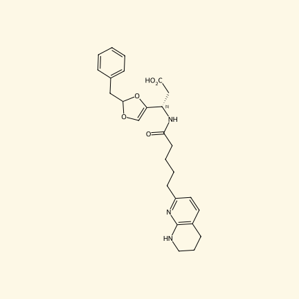 O=C(O)C[C@H](NC(=O)CCCCc1ccc2c(n1)NCCC2)C1=COC(Cc2ccccc2)O1